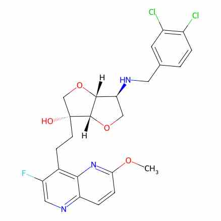 COc1ccc2ncc(F)c(CC[C@@]3(O)CO[C@@H]4[C@@H](NCc5ccc(Cl)c(Cl)c5)CO[C@@H]43)c2n1